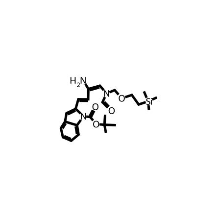 CC(C)(C)OC(=O)n1c(/C=C/C(N)=C\N(C=O)COCC[Si](C)(C)C)cc2ccccc21